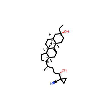 CC[C@]1(O)CC[C@]2(C)C3=CC[C@]4(C)[C@@H]([C@H](C)CC[C@@H](O)C5(C#N)CC5)CC[C@H]4[C@@H]3CC[C@H]2C1